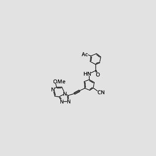 COc1cn2c(C#Cc3cc(C#N)cc(NC(=O)c4cccc(C(C)=O)c4)c3)nnc2cn1